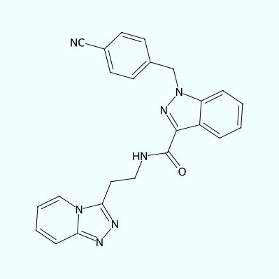 N#Cc1ccc(Cn2nc(C(=O)NCCc3nnc4ccccn34)c3ccccc32)cc1